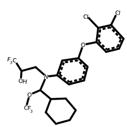 OC(CN(c1cccc(Oc2cccc(Cl)c2Cl)c1)C(OC(F)(F)F)C1CCCCC1)C(F)(F)F